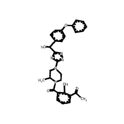 CC(=O)c1cccc(C(=O)N2CCN(c3nc(C(O)c4ccc(Oc5ccccc5)cc4)ns3)CC2C)c1O